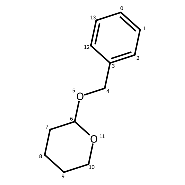 c1ccc(COC2CCCCO2)cc1